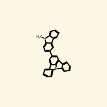 Cn1c2ccccc2c2cc(-c3cc4c5ccccc5n5c6ccccc6c(c3)c45)ccc21